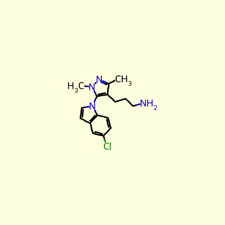 Cc1nn(C)c(-n2ccc3cc(Cl)ccc32)c1CCCN